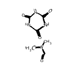 CN(C)C=O.O=c1[nH]c(=O)[nH]c(=O)[nH]1